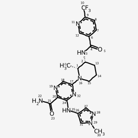 C[C@@H]1[C@H](NC(=O)c2ccc(C(F)(F)F)nc2)CCCN1c1cnc(C(N)=O)c(Nc2cnn(C)c2)n1